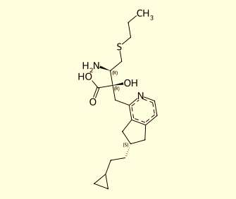 CCCSC[C@H](N)[C@](O)(Cc1nccc2c1C[C@@H](CCC1CC1)C2)C(=O)O